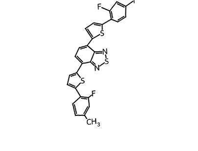 Cc1ccc(-c2ccc(-c3ccc(-c4ccc(-c5ccc(I)cc5F)s4)c4nsnc34)s2)c(F)c1